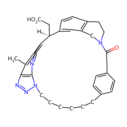 Cc1c2cnc3c1nnn3CCCCCCc1ccc(cc1)C(=O)N1CCc3ccc(cc3C1)[C@@H]2CC(=O)O